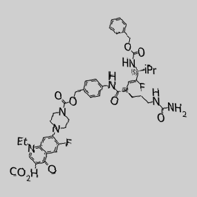 CCn1cc(C(=O)O)c(=O)c2cc(F)c(N3CCN(C(=O)OCc4ccc(NC(=O)[C@@H](C=C(F)[C@@H](NC(=O)OCc5ccccc5)C(C)C)CCCNC(N)=O)cc4)CC3)cc21